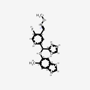 CO/N=C/c1cc(C(Oc2cc3scnc3cc2C)c2nnco2)ncc1F